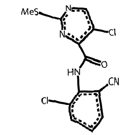 CSc1ncc(Cl)c(C(=O)Nc2c(Cl)cccc2C#N)n1